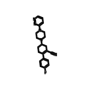 N#CC1=C(c2ccc(F)cc2)CCC(N2CCN(c3cccnn3)CC2)C1